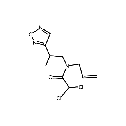 C=CCN(CC(C)c1cnon1)C(=O)C(Cl)Cl